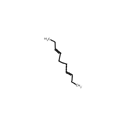 [CH2]CC=CCCC=CC[CH2]